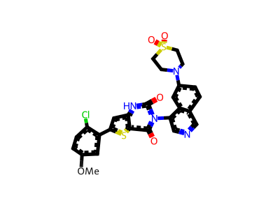 COc1ccc(Cl)c(-c2cc3[nH]c(=O)n(-c4cncc5ccc(N6CCS(=O)(=O)CC6)cc45)c(=O)c3s2)c1